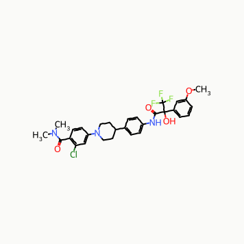 COc1cccc(C(O)(C(=O)Nc2ccc(C3CCN(c4ccc(C(=O)N(C)C)c(Cl)c4)CC3)cc2)C(F)(F)F)c1